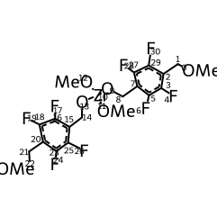 COCc1c(F)c(F)c(C[O][Zr]([O]C)([O]C)[O]Cc2c(F)c(F)c(COC)c(F)c2F)c(F)c1F